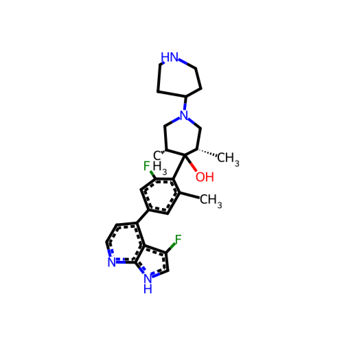 Cc1cc(-c2ccnc3[nH]cc(F)c23)cc(F)c1C1(O)[C@H](C)CN(C2CCNCC2)C[C@@H]1C